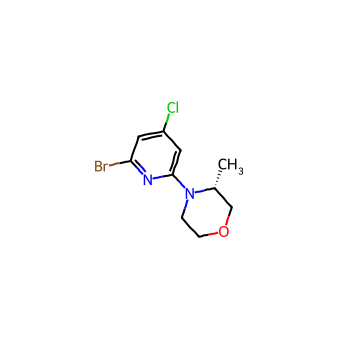 C[C@@H]1COCCN1c1cc(Cl)cc(Br)n1